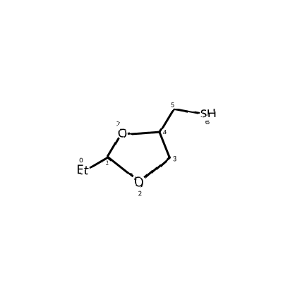 CCC1OCC(CS)O1